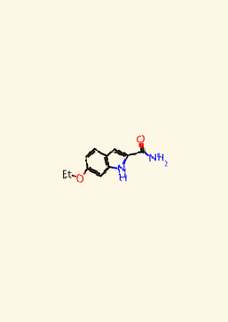 CCOc1ccc2cc(C(N)=O)[nH]c2c1